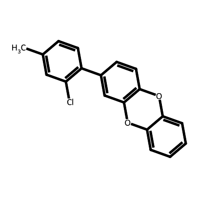 Cc1ccc(-c2ccc3c(c2)Oc2ccccc2O3)c(Cl)c1